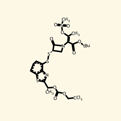 C/C(OS(C)(=O)=O)=C(\C(=O)OC(C)(C)C)N1C[C@H](SSc2cccc3sc([C@@H](C)OC(=O)OCC(Cl)(Cl)Cl)nc23)C1=O